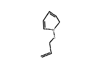 C=CCSN1C=CC=CC1